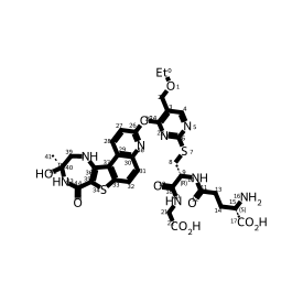 CCOCc1cnc(SC[C@H](NC(=O)CC[C@H](N)C(=O)O)C(=O)NCC(=O)O)nc1Oc1ccc2c(ccc3sc4c(c32)NC[C@](C)(O)NC4=O)n1